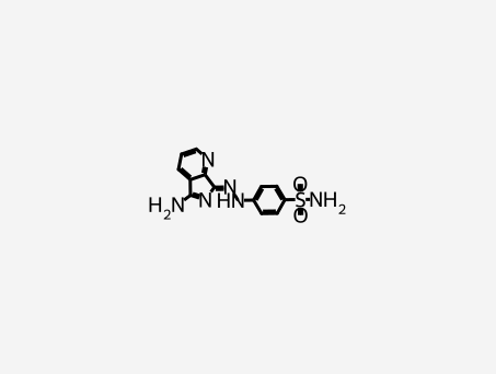 NC1=NC(=NNc2ccc(S(N)(=O)=O)cc2)c2ncccc21